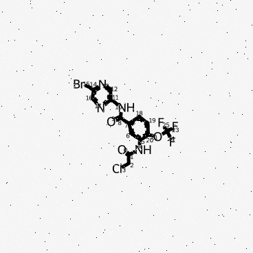 O=C(CCl)Nc1cc(C(=O)Nc2cnc(Br)cn2)ccc1OC(F)(F)F